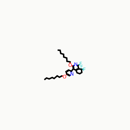 CCCCCCCCOc1ccc(-c2c(OCCCCCCCC)nc(F)c3c2CCCC3(F)F)nc1